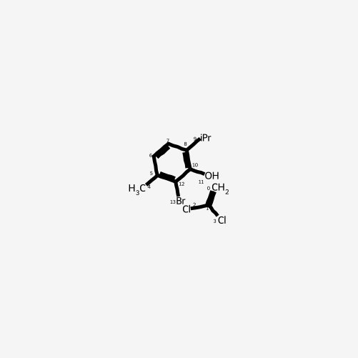 C=C(Cl)Cl.Cc1ccc(C(C)C)c(O)c1Br